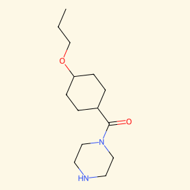 CCCOC1CCC(C(=O)N2CCNCC2)CC1